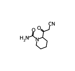 N#CCC(=O)C1CCCCN1C(N)=O